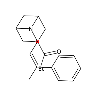 CCC(=O)N1CC2CC(C1)N2C/C=C(/C)c1ccccc1